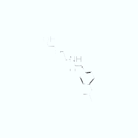 CC(C)Cc1ccc([C@@H](C)C(=O)NCCOCCO)cc1